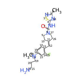 Cc1nsc(NC(=O)N2CCC(=Cc3ccc(N(C)CCCN)cc3F)CC2)n1